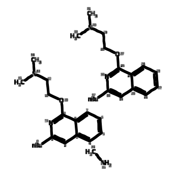 CCCCc1cc2ccccc2c(OCCN(C)C)n1.CCCCc1cc2ccccc2c(OCCN(C)C)n1.CN